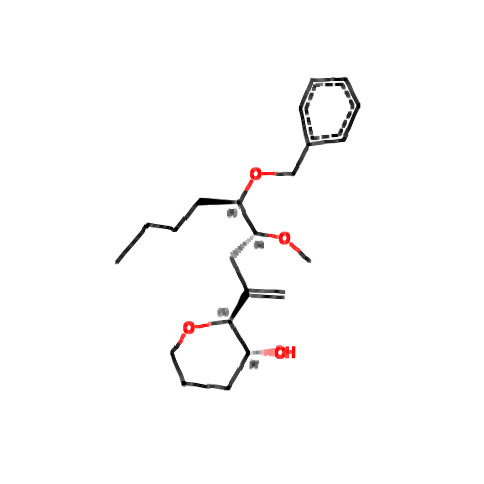 C=C(C[C@@H](OC)[C@@H](CCCC)OCc1ccccc1)[C@@H]1OCCC[C@H]1O